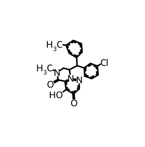 Cc1cccc(C(c2cccc(Cl)c2)C2CN(C)C(=O)c3c(O)c(=O)cnn32)c1